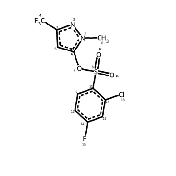 Cn1nc(C(F)(F)F)cc1OS(=O)(=O)c1ccc(F)cc1Cl